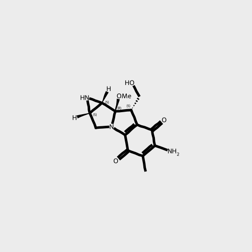 CO[C@@]12[C@H](CO)C3=C(C(=O)C(C)=C(N)C3=O)N1C[C@@H]1N[C@@H]12